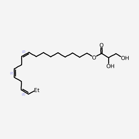 CC/C=C\C/C=C\C/C=C\CCCCCCCCOC(=O)C(O)CO